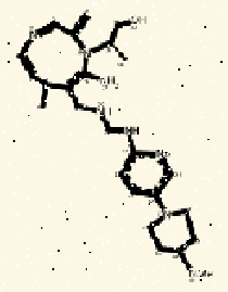 C=C1/C=N\C=C/C(C)/C(CNCNc2ccc(N3CCC(NC)CC3)cn2)=C(/N)N1[C@H](C)CO